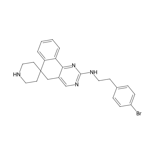 Brc1ccc(CCNc2ncc3c(n2)-c2ccccc2C2(CCNCC2)C3)cc1